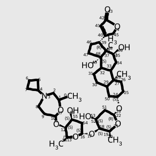 CC1CN(C2CCC2)CCC(O[C@@H]2[C@H](C)O[C@@H](O[C@@H]3[C@H](C)O[C@@H](O[C@H]4CC[C@@]5(C)C(CCC6C5C[C@H](O)[C@]5(C)[C@@H](C7=CC(=O)OC7)CC[C@]65O)C4)C[C@@H]3O)C[C@@H]2O)O1